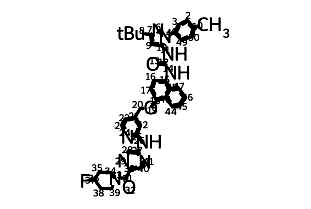 Cc1ccc(-n2nc(C(C)(C)C)cc2NC(=O)Nc2ccc(OCc3ccnc(Nc4cnc(C(=O)N5CCC(F)CC5)cn4)c3)c3ccccc23)cc1